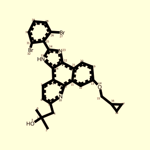 CC(C)(O)Cc1ccc2c(n1)c1cc(OCC3CC3)ccc1c1nc(-c3c(Br)cccc3Br)[nH]c21